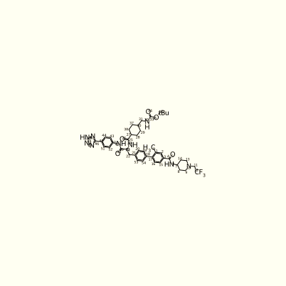 Cc1cc(C(=O)NC2CCN(CC(F)(F)F)CC2)ccc1-c1ccc(C[C@H](NC(=O)C2CCC(CNC(=O)OC(C)(C)C)CC2)C(=O)Nc2ccc(-c3nn[nH]n3)cc2)cc1